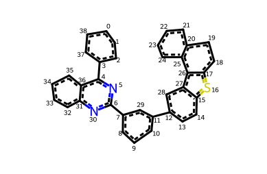 c1ccc(-c2nc(-c3cccc(-c4ccc5sc6ccc7ccccc7c6c5c4)c3)nc3ccccc23)cc1